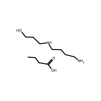 CCCC(=O)O.NCCCCNCCCO